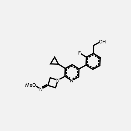 CON=C1CN(c2ncc(-c3cccc(CO)c3F)cc2C2CC2)C1